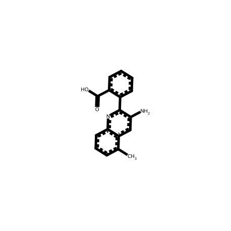 Cc1cccc2nc(-c3ccccc3C(=O)O)c(N)cc12